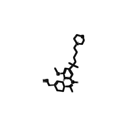 C=C(C)[C@H]1CCC(CO)=C[C@@H]1c1c(OC)cc(C(C)(C)CCCCN2CCOCC2)cc1OC